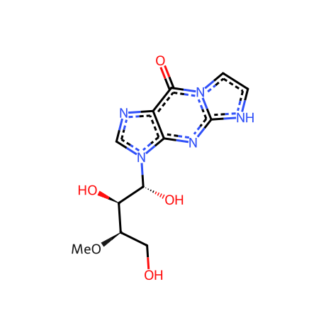 CO[C@H](CO)[C@@H](O)[C@@H](O)n1cnc2c(=O)n3cc[nH]c3nc21